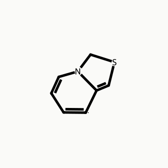 [C]1=CC=CN2CSC=C12